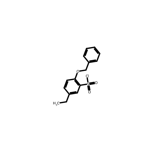 CCc1ccc(OCc2ccccc2)c(S(=O)(=O)Cl)c1